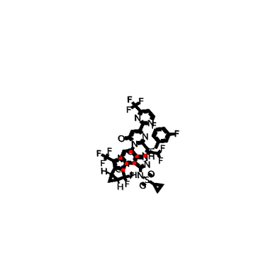 O=C(Cn1nc(C(F)(F)F)c2c1C(F)(F)[C@@H]1C[C@H]21)N[C@@H](Cc1cc(F)cc(F)c1)c1nc(-c2nccc(C(F)(F)F)n2)cc(=O)n1-c1ccc(Cl)c2c(NS(=O)(=O)C3CC3)nn(CC(F)F)c12